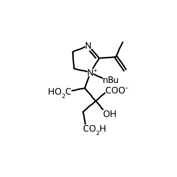 C=C(C)C1=NCC[N+]1(CCCC)C(C(=O)O)C(O)(CC(=O)O)C(=O)[O-]